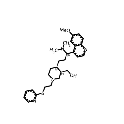 COc1ccc2nccc([C@@H](CC[C@@H]3CCN(CCSc4ccccn4)C[C@@H]3CO)N(C)C)c2c1